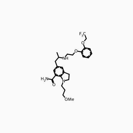 COCCCN1CCc2cc(CC(C)NCCOc3ccccc3OCC(F)(F)F)cc(C(N)=O)c21